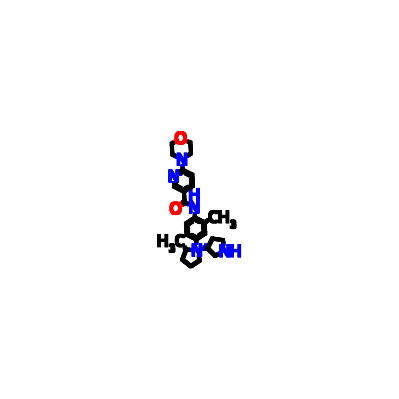 Cc1cc([N+]2(C3CCNC3)CCCC2C)ccc1NC(=O)c1ccc(N2CCOCC2)nc1